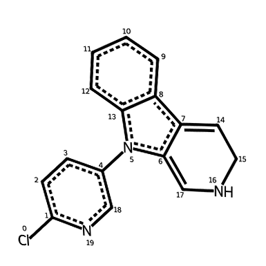 Clc1ccc(-n2c3c(c4ccccc42)=CCNC=3)cn1